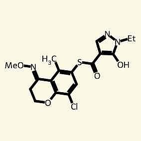 CCn1ncc(C(=O)Sc2cc(Cl)c3c(c2C)C(=NOC)CCO3)c1O